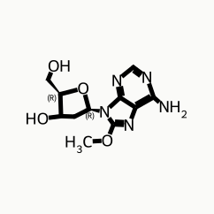 COc1nc2c(N)ncnc2n1[C@H]1CC(O)[C@@H](CO)O1